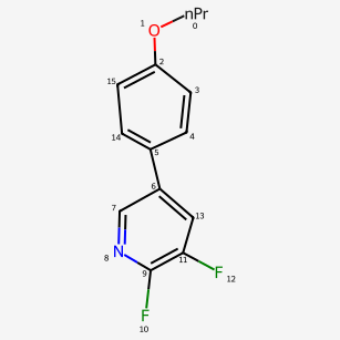 CCCOc1ccc(-c2cnc(F)c(F)c2)cc1